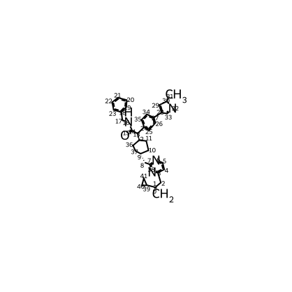 C=C(Cc1ccnc(C[C@H]2CC[C@H](C(C(=O)NCc3ccccc3)c3ccc(C4=CC(C)N=C4)cc3)CC2)n1)C1CC1